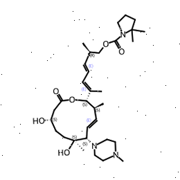 C/C(=C\C=C\[C@@H](C)COC(=O)N1CCCC1(C)C)[C@H]1OC(=O)C[C@@H](O)CC[C@](C)(O)[C@@H](N2CCN(C)CC2)/C=C/[C@@H]1C